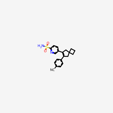 N#Cc1ccc(C2=C(c3ccc(S(N)(=O)=O)nc3)CC3(CCC3)C2)cc1